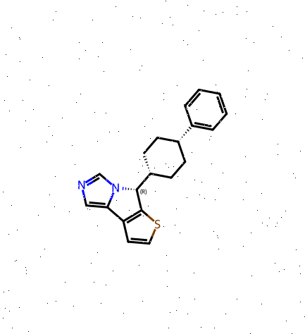 c1ccc([C@H]2CC[C@@H]([C@@H]3c4sccc4-c4cncn43)CC2)cc1